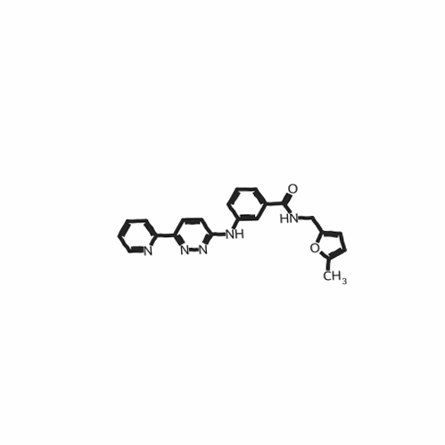 Cc1ccc(CNC(=O)c2cccc(Nc3ccc(-c4ccccn4)nn3)c2)o1